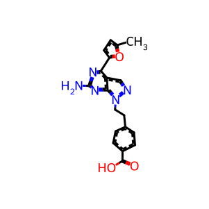 Cc1ccc(-c2nc(N)nc3c2cnn3CCc2ccc(C(=O)O)cc2)o1